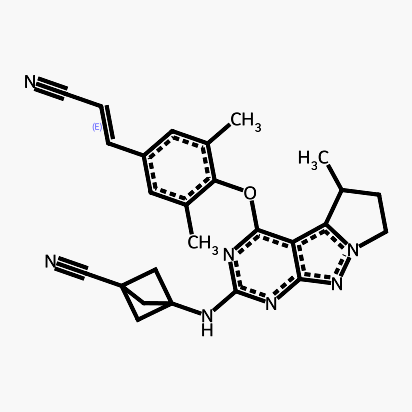 Cc1cc(/C=C/C#N)cc(C)c1Oc1nc(NC23CC(C#N)(C2)C3)nc2nn3c(c12)C(C)CC3